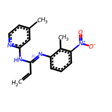 C=C/C(=N\c1cccc([N+](=O)[O-])c1C)Nc1cc(C)ccn1